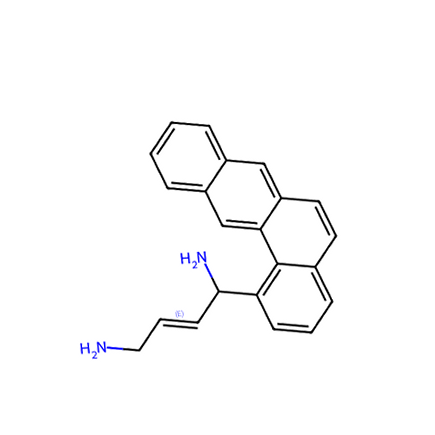 NC/C=C/C(N)c1cccc2ccc3cc4ccccc4cc3c12